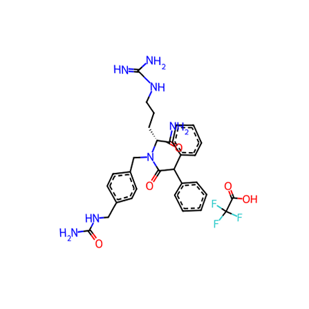 N=C(N)NCCC[C@H](C(N)=O)N(Cc1ccc(CNC(N)=O)cc1)C(=O)C(c1ccccc1)c1ccccc1.O=C(O)C(F)(F)F